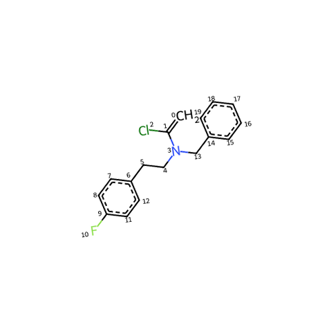 C=C(Cl)N(CCc1ccc(F)cc1)Cc1ccccc1